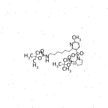 Cc1ccc(S(=O)(=O)N2CCC[C@H]2C(=O)OC(C)(C)C)c(CCCCCCNC(=O)OC(C)(C)C)n1